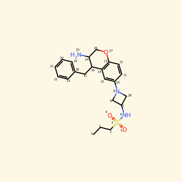 CCCS(=O)(=O)NC1CN(c2ccc3c(c2)C(Cc2ccccc2)C(N)CO3)C1